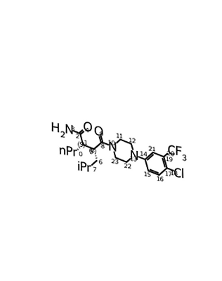 CCC[C@H](C(N)=O)[C@@H](CC(C)C)C(=O)N1CCN(c2ccc(Cl)c(C(F)(F)F)c2)CC1